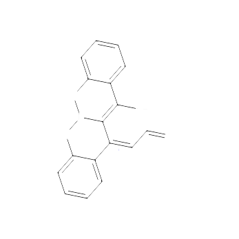 C=C/C=C1\C2=C(C)c3ccccc3OB2Oc2ccccc21